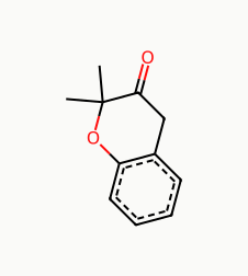 CC1(C)Oc2ccccc2CC1=O